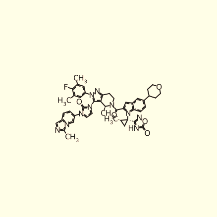 Cc1cc(-n2nc3c(c2-n2ccn(-c4ccc5cnc(C)n5c4)c2=O)[C@H](C)N(C(=O)c2cc4cc(C5CCOCC5)ccc4n2[C@@]2(c4noc(=O)[nH]4)C[C@@H]2C)CC3)cc(C)c1F